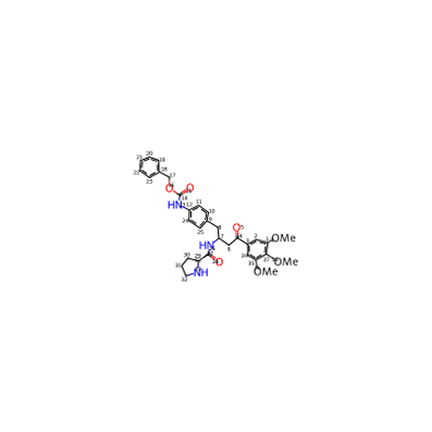 COc1cc(C(=O)CC(Cc2ccc(NC(=O)OCc3ccccc3)cc2)NC(=O)[C@@H]2CCCN2)cc(OC)c1OC